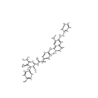 COc1cc2c(Oc3ccc(NC(=O)Oc4cn(C(C)C)c(=O)n(-c5ccc(F)cc5)c4=O)cc3F)ccnc2cc1OCc1ccccc1